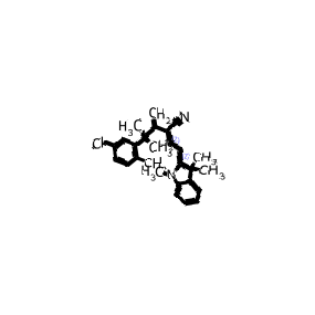 C=C(/C(C#N)=C/C=C1\N(C)c2ccccc2C1(C)C)C(C)(C)c1cc(Cl)ccc1C